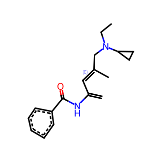 C=C(/C=C(\C)CN(CC)C1CC1)NC(=O)c1ccccc1